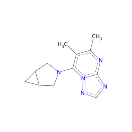 Cc1nc2ncnn2c(N2CC3CC3C2)c1C